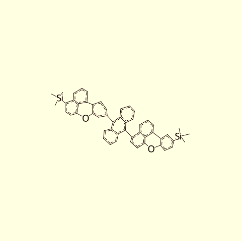 C[Si](C)(C)c1ccc2c(c1)-c1cccc3c(-c4c5ccccc5c(-c5ccc6c(c5)Oc5ccc([Si](C)(C)C)c7cccc-6c57)c5ccccc45)ccc(c13)O2